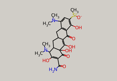 CN(C)c1cc([S+](C)[O-])c(O)c2c1CC1CC3C(N(C)C)C(O)=C(C(N)=O)C(=O)C3(O)C(O)=C1C2=O